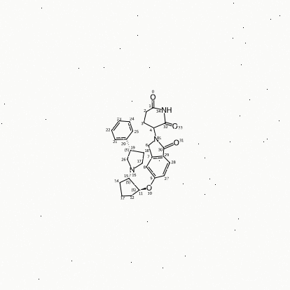 O=C1CCC(N2Cc3cc(O[C@H]4CCC[C@@H]4N4CC[C@@H](c5ccccc5)C4)ccc3C2=O)C(=O)N1